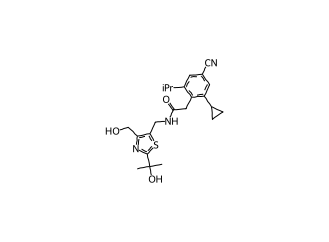 CC(C)c1cc(C#N)cc(C2CC2)c1CC(=O)NCc1sc(C(C)(C)O)nc1CO